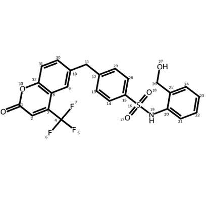 O=c1cc(C(F)(F)F)c2cc(Cc3ccc(S(=O)(=O)Nc4ccccc4CO)cc3)ccc2o1